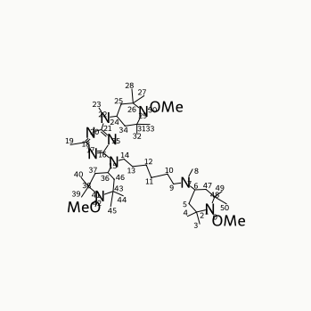 CON1C(C)(C)CC(N(C)CCCCCCN(c2nc(C)nc(N(C)C3CC(C)(C)N(OC)C(C)(C)C3)n2)C2CC(C)(C)N(OC)C(C)(C)C2)CC1(C)C